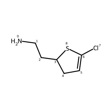 NCCC1CC=C(Cl)S1